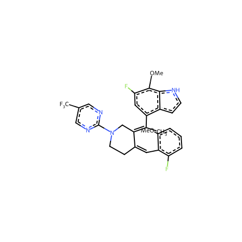 COc1cccc(F)c1/C=C1/CCN(c2ncc(C(F)(F)F)cn2)C/C1=C(/C)c1cc(F)c(OC)c2[nH]ccc12